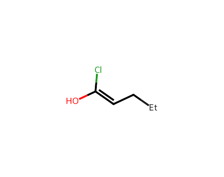 CCC/C=C(/O)Cl